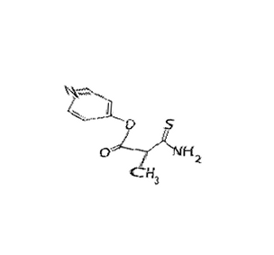 CC(C(=O)Oc1ccncc1)C(N)=S